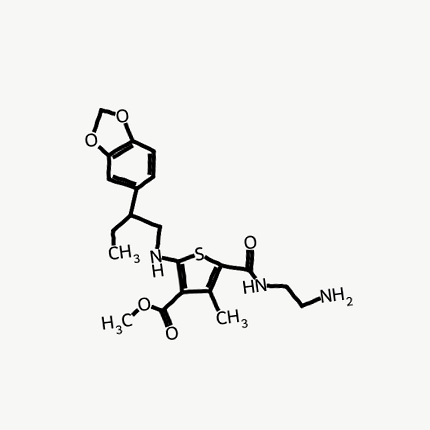 CCC(CNc1sc(C(=O)NCCN)c(C)c1C(=O)OC)c1ccc2c(c1)OCO2